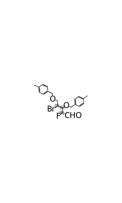 Cc1ccc(COC[C@H](Br)[C@@H](OCc2ccc(C)cc2)[C@@H](F)C=O)cc1